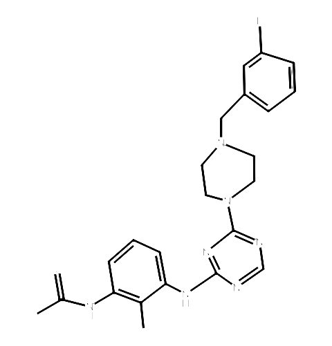 CC(=O)Nc1cccc(Nc2ncnc(N3CCN(Cc4cccc(F)c4)CC3)n2)c1C